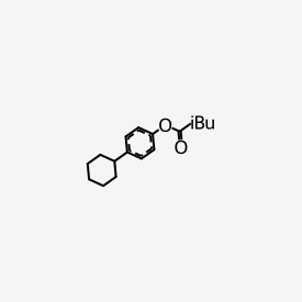 CCC(C)C(=O)Oc1ccc(C2CCCCC2)cc1